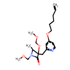 C=CCCCCOc1ccnc(CC2(OCOC)C(=O)N(COC)C2C)c1